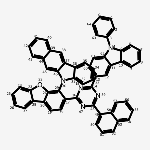 c1ccc(-n2c3ccccc3c3cc(-c4nc(-c5ccc6c(oc7ccccc76)c5-n5c6ccccc6c6cc7ccccc7cc65)nc(-c5cccc6ccccc56)n4)ccc32)cc1